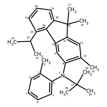 Cc1ccccc1N(c1cc2c(cc1C)C(C)(C)c1cccc(C(C)C)c1-2)C(C)(C)C